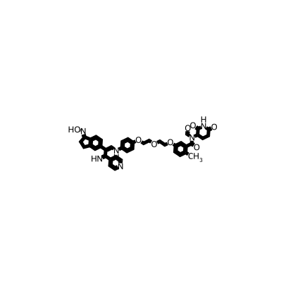 Cc1ccc(OCCOCCOc2ccc(N/C=C(\C(=N)c3ccncc3)c3ccc4c(c3)CC/C4=N\O)cc2)cc1C(=O)N(C=O)C1CCC(=O)NC1=O